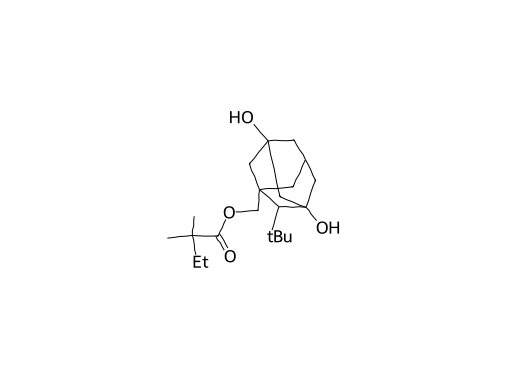 CCC(C)(C)C(=O)OCC12CC3CC(O)(CC(O)(C3)C1C(C)(C)C)C2